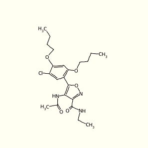 CCCCOc1cc(OCCCC)c(-c2onc(C(=O)NCC)c2NC(C)=O)cc1Cl